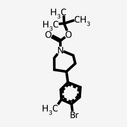 Cc1cc(C2CCN(C(=O)OC(C)(C)C)CC2)ccc1Br